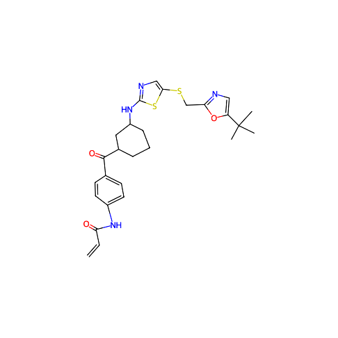 C=CC(=O)Nc1ccc(C(=O)C2CCCC(Nc3ncc(SCc4ncc(C(C)(C)C)o4)s3)C2)cc1